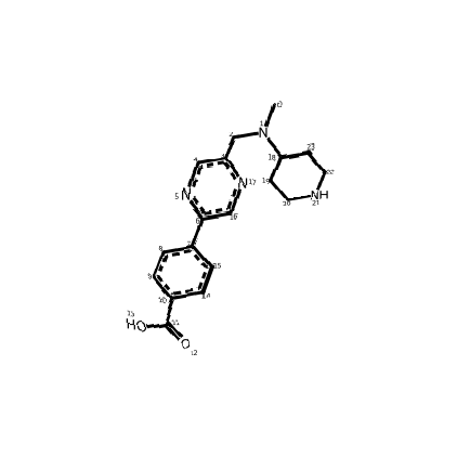 CN(Cc1cnc(-c2ccc(C(=O)O)cc2)cn1)C1CCNCC1